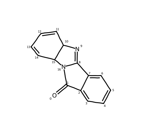 O=C1c2ccccc2C2=NC3C=CC=CC3N12